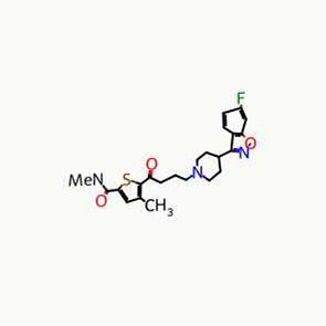 CNC(=O)c1cc(C)c(C(=O)CCCN2CCC(c3noc4cc(F)ccc34)CC2)s1